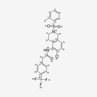 Cc1ccccc1S(=O)(=O)N1CCc2c(ccc(Cl)c2NC(=O)Cc2ccc(C(F)(F)F)cc2)C1